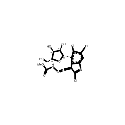 COC(=O)NN=C=C1C(Cl)=Nc2cc(Cl)c(Cl)c([C@@H]3O[C@H](CO)[C@@H](O)[C@H]3O)c21